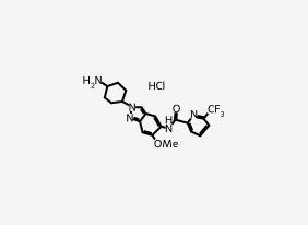 COc1cc2nn(C3CCC(N)CC3)cc2cc1NC(=O)c1cccc(C(F)(F)F)n1.Cl